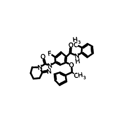 Cc1ccccc1NC(=O)c1cc(F)c(-n2nc3n(c2=O)CCCC3)cc1O[C@@H](C)c1ccccc1